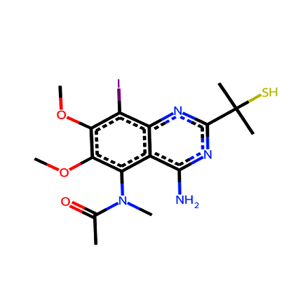 COc1c(OC)c(N(C)C(C)=O)c2c(N)nc(C(C)(C)S)nc2c1I